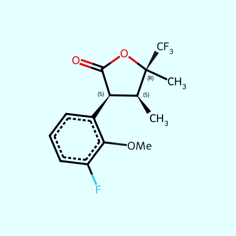 COc1c(F)cccc1[C@H]1C(=O)O[C@@](C)(C(F)(F)F)[C@H]1C